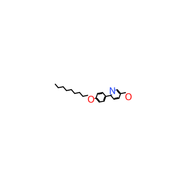 CCCCCCCCCOc1ccc(-c2ccc(C=O)cn2)cc1